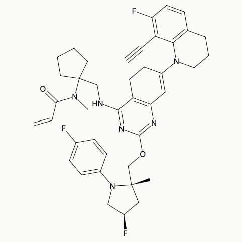 C#Cc1c(F)ccc2c1N(C1=Cc3nc(OC[C@]4(C)C[C@@H](F)CN4c4ccc(F)cc4)nc(NCC4(N(C)C(=O)C=C)CCCC4)c3CC1)CCC2